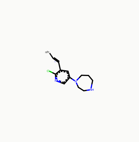 CCC/C=C/c1cc(N2CCCNCC2)cnc1Cl